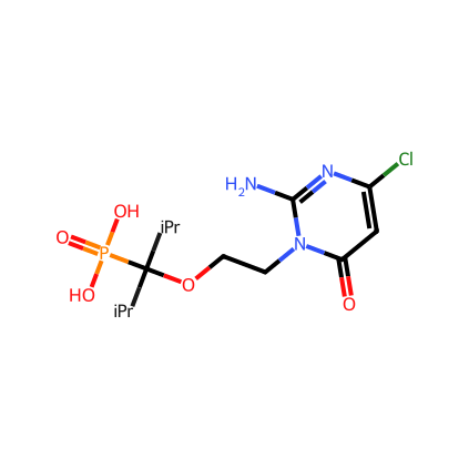 CC(C)C(OCCn1c(N)nc(Cl)cc1=O)(C(C)C)P(=O)(O)O